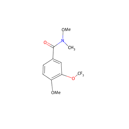 COc1ccc(C(=O)N(C)OC)cc1OC(F)(F)F